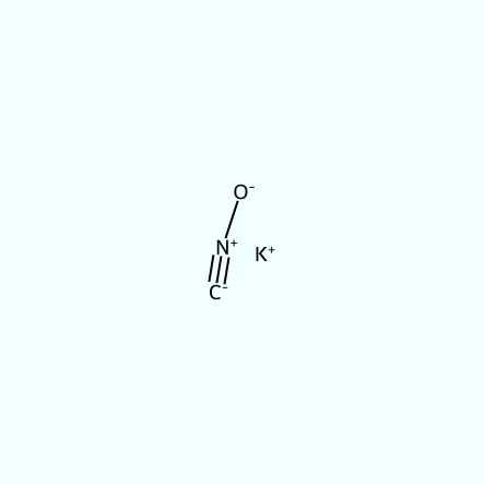 [C-]#[N+][O-].[K+]